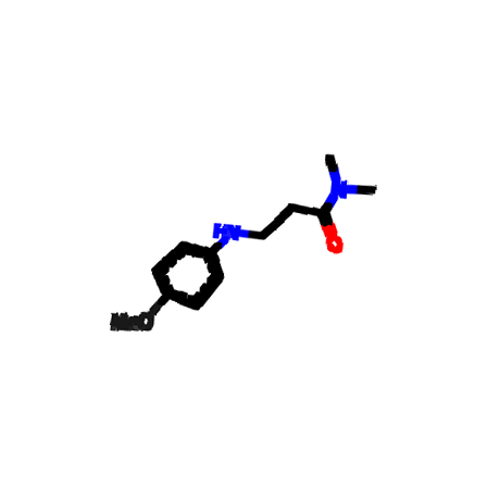 COc1ccc(NCCC(=O)N(C)C)cc1